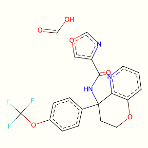 O=C(NC1(c2ccc(OC(F)(F)F)cc2)CCOc2cccnc21)c1cocn1.O=CO